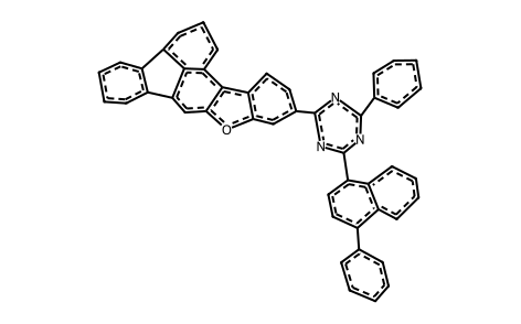 c1ccc(-c2nc(-c3ccc4c(c3)oc3cc5c6c(cccc6c34)-c3ccccc3-5)nc(-c3ccc(-c4ccccc4)c4ccccc34)n2)cc1